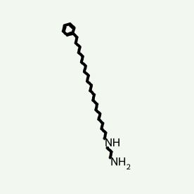 NCCCNCCCCCCCCCCCCCCCCCCCCCCc1ccccc1